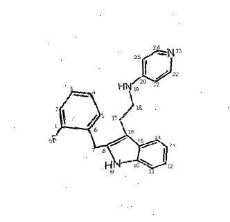 Fc1ccccc1Cc1[nH]c2ccccc2c1CCNc1ccncc1